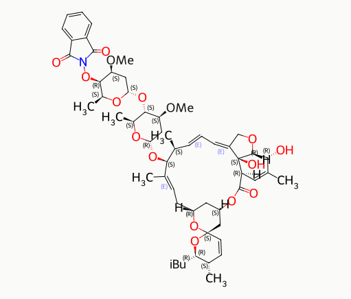 CC[C@@H](C)[C@H]1O[C@]2(C=C[C@@H]1C)C[C@@H]1C[C@@H](C/C=C(\C)[C@@H](O[C@H]3C[C@H](OC)[C@@H](O[C@H]4C[C@H](OC)[C@H](ON5C(=O)c6ccccc6C5=O)[C@H](C)O4)[C@H](C)O3)[C@@H](C)/C=C/C=C3\CO[C@@H]4[C@H](O)C(C)=C[C@@H](C(=O)O1)[C@]34O)O2